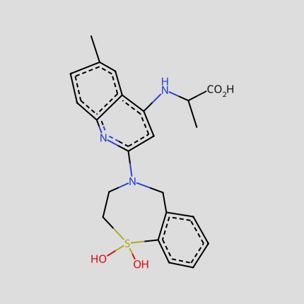 Cc1ccc2nc(N3CCS(O)(O)c4ccccc4C3)cc(NC(C)C(=O)O)c2c1